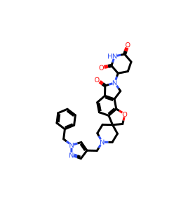 O=C1CCC(N2Cc3c(ccc4c3OCC43CCN(Cc4cnn(Cc5ccccc5)c4)CC3)C2=O)C(=O)N1